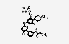 C=CC(=O)Nc1cccc(-c2nc(Nc3cc(F)c(N4CCN(C)CC4)c(OCOP(=O)(O)O)c3)ncc2Cl)c1